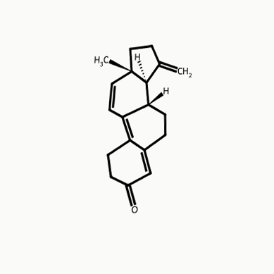 C=C1CC[C@@]2(C)C=CC3=C4CCC(=O)C=C4CC[C@H]3[C@H]12